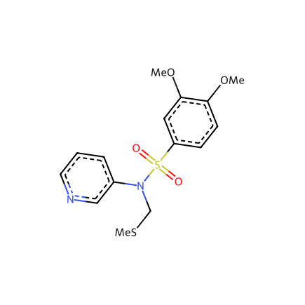 COc1ccc(S(=O)(=O)N(CSC)c2cccnc2)cc1OC